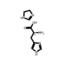 C1=NCCN1.N[C@@H](Cc1c[nH]cn1)C(=O)O